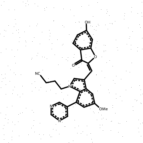 COc1cc(-c2cncnc2)c2c(c1)c(C=C1Oc3cc(O)ccc3C1=O)cn2CCCC#N